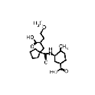 COCCC(CC1(C(=O)NC2CC(C(=O)O)CCC2C)CCCC1)C(=O)O